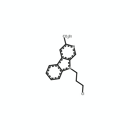 CCOC(=O)c1cc2c3ccccc3n(CCCCl)c2cn1